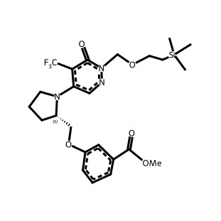 COC(=O)c1cccc(OC[C@@H]2CCCN2c2cnn(COCC[Si](C)(C)C)c(=O)c2C(F)(F)F)c1